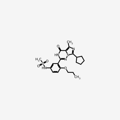 CCCOc1ccc(NS(C)(=O)=O)cc1-c1nn2c(C3CCCC3)nc(C)c2c(=O)[nH]1